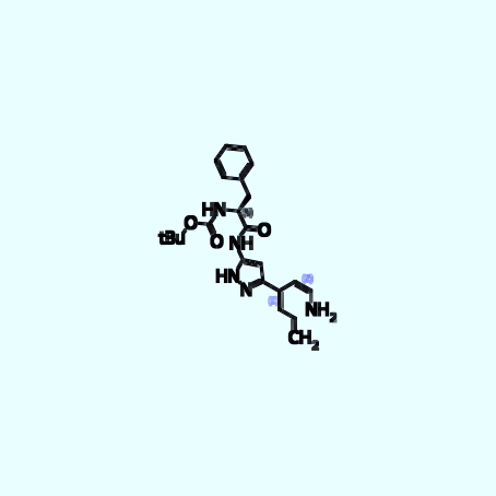 C=C/C=C(\C=C/N)c1cc(NC(=O)[C@H](Cc2ccccc2)NC(=O)OC(C)(C)C)[nH]n1